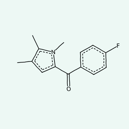 Cc1cc(C(=O)c2ccc(F)cc2)n(C)c1C